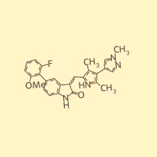 COc1cccc(F)c1-c1ccc2c(c1)/C(=C/c1[nH]c(C)c(-c3cnn(C)c3)c1C)C(=O)N2